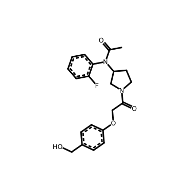 CC(=O)N(c1ccccc1F)C1CCN(C(=O)COc2ccc(CO)cc2)C1